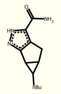 CCCCC1C2Cc3c(n[nH]c3C(N)=O)C12